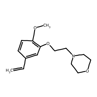 C=Cc1ccc(OC)c(OCCN2CCOCC2)c1